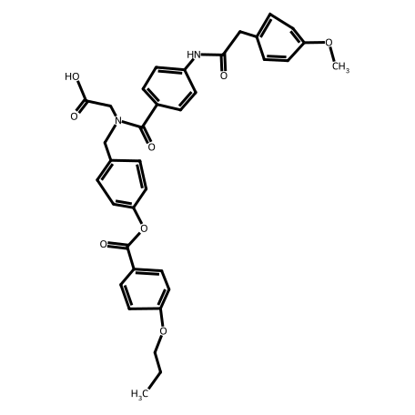 CCCOc1ccc(C(=O)Oc2ccc(CN(CC(=O)O)C(=O)c3ccc(NC(=O)Cc4ccc(OC)cc4)cc3)cc2)cc1